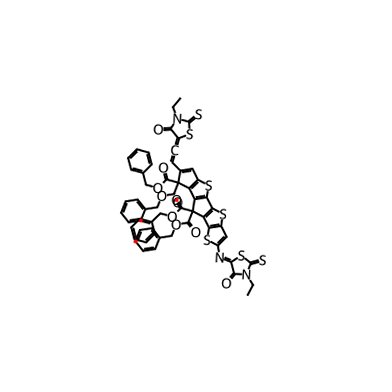 CCN1C(=O)C(=C=CC2=Cc3sc4c(c3C2(C(=O)OCc2ccccc2)C(=O)OCc2ccccc2)C(C(=O)OCc2ccccc2)(C(=O)OCc2ccccc2)c2c-4sc3cc(/N=C4\SC(=S)N(CC)C4=O)sc23)SC1=S